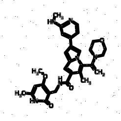 C=C(c1c(C)c(C(=O)NCc2c(OC)cc(C)[nH]c2=O)cc2cc(-c3ccnc(NC)c3)cn12)N1CCOCC1